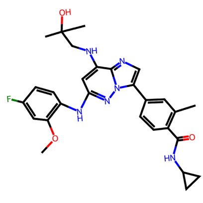 COc1cc(F)ccc1Nc1cc(NCC(C)(C)O)c2ncc(-c3ccc(C(=O)NC4CC4)c(C)c3)n2n1